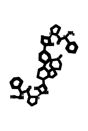 CN1CCC2(CCC3=C2C(c2ccc(-c4cnc([C@@H]5CCCN5C(=O)[C@@H](N)c5ccccc5)[nH]4)cc2)=CCC3C2=CNC([C@@H]3CCCN3C(=O)[C@@H](NO)c3ccccc3)N2)CC1